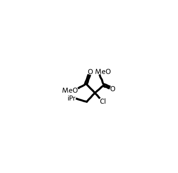 COC(=O)C(Cl)(CC(C)C)C(=O)OC